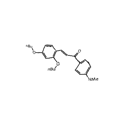 CCCCOc1ccc(C=CC(=O)c2ccc(NC)cc2)c(OCCCC)c1